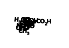 Cc1noc(C)c1-c1cccc(N(C(=O)NCCC(=O)O)c2c(O)ccn(C)c2=O)c1